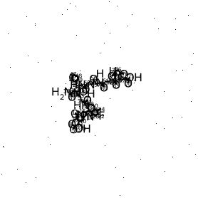 CC[C@@]1(O)C(=O)OCc2c1cc1n(c2=O)Cc2c-1nc1cc(F)c(C)c3c1c2[C@@H](NC(=O)CCCN(CC(N)=O)C(=O)[C@H](Cc1ccccc1)NC(=O)CNC(=O)CNC(=O)CCNC(=O)[C@H](CCC(=O)O)N1C(=O)C=CC1=O)CC3